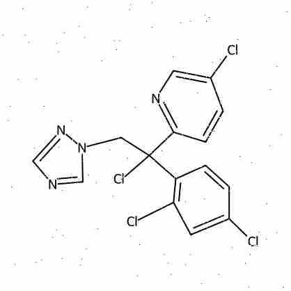 Clc1ccc(C(Cl)(Cn2cncn2)c2ccc(Cl)cc2Cl)nc1